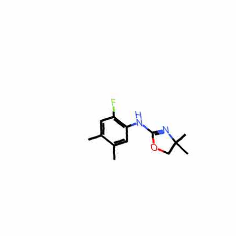 Cc1cc(F)c(NC2=NC(C)(C)CO2)cc1C